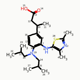 Cc1nc(C)c(Nc2cc(C(C)CC(=O)O)ccc2N(CC(C)C)CC(C)C)s1